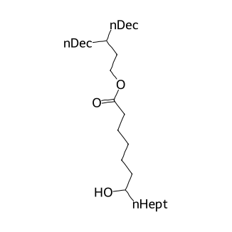 CCCCCCCCCCC(CCCCCCCCCC)CCOC(=O)CCCCCC(O)CCCCCCC